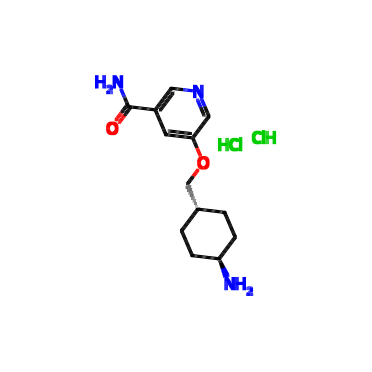 Cl.Cl.NC(=O)c1cncc(OC[C@H]2CC[C@H](N)CC2)c1